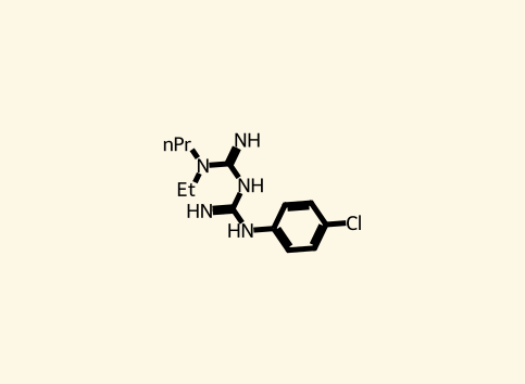 CCCN(CC)C(=N)NC(=N)Nc1ccc(Cl)cc1